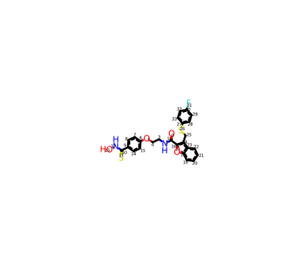 O=C(NCCOc1ccc(C(=S)NO)cc1)c1oc2ccccc2c1CSc1ccc(F)cc1